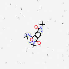 CC(C)(C)NC(=O)c1ccc(C(=O)NC(C)(C)C)c(C(=O)NC(C)(C)C)c1